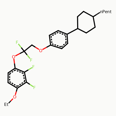 CCCCCC1CCC(c2ccc(OCC(F)(F)Oc3ccc(OCC)c(F)c3F)cc2)CC1